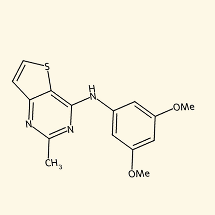 COc1cc(Nc2nc(C)nc3ccsc23)cc(OC)c1